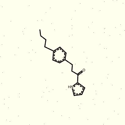 CCCCc1ccc(CCC(=O)c2ccc[nH]2)cc1